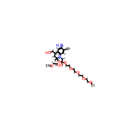 CCOCCOCCOCCOCCOC(O)(CN1c2cc(C(C)C)c(N)cc2C(CO)CC1(C)C)OCCOCC